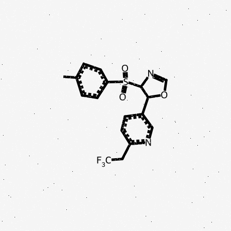 Cc1ccc(S(=O)(=O)C2N=COC2c2ccc(CC(F)(F)F)nc2)cc1